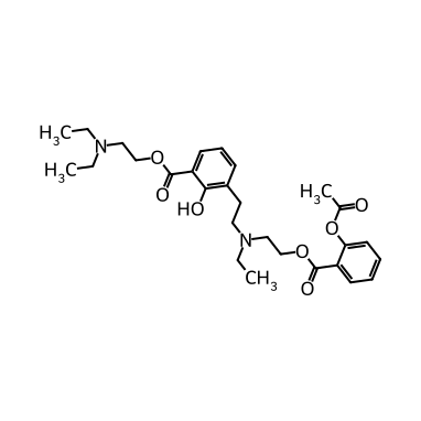 CCN(CC)CCOC(=O)c1cccc(CCN(CC)CCOC(=O)c2ccccc2OC(C)=O)c1O